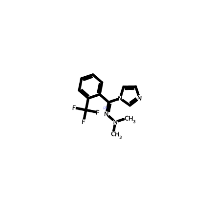 CN(C)/N=C(/c1ccccc1C(F)(F)F)n1ccnc1